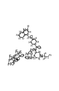 CCC(C)(C)N1CC[C@H](C(=O)NO)[C@H](NC(=O)c2ccc(OCc3cc(C)nc4ccccc34)cc2)C1.O=C(O)C(F)(F)F.O=C(O)C(F)(F)F